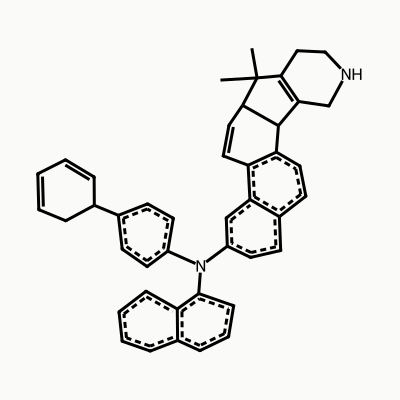 CC1(C)C2=C(CNCC2)C2c3ccc4ccc(N(c5ccc(C6C=CC=CC6)cc5)c5cccc6ccccc56)cc4c3C=CC21